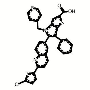 O=C(O)c1cc2c(s1)c(-c1ccccc1)c(-c1ccc3nc(-c4ccc(Cl)s4)ccc3c1)n2Cc1ccncc1